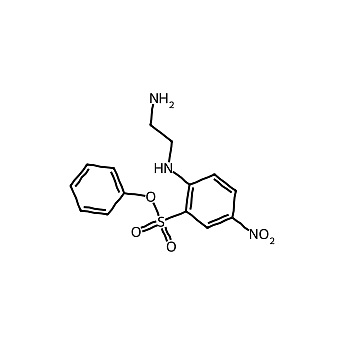 NCCNc1ccc([N+](=O)[O-])cc1S(=O)(=O)Oc1ccccc1